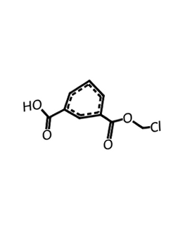 O=C(O)c1cccc(C(=O)OCCl)c1